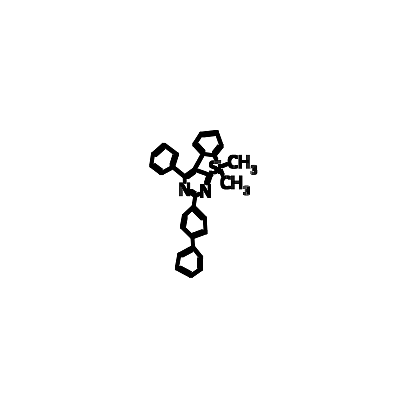 C[Si]1(C)c2ccccc2-c2c(-c3ccccc3)nc(-c3ccc(-c4ccccc4)cc3)nc21